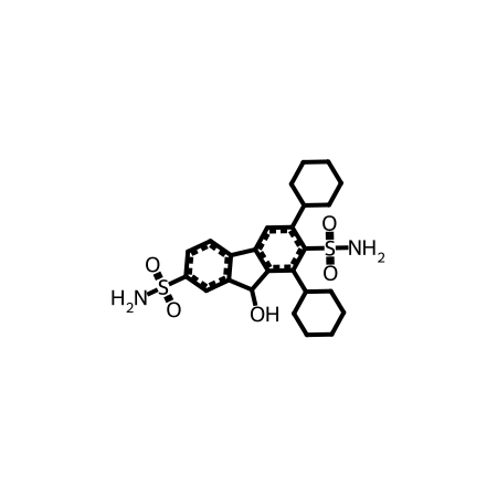 NS(=O)(=O)c1ccc2c(c1)C(O)c1c-2cc(C2CCCCC2)c(S(N)(=O)=O)c1C1CCCCC1